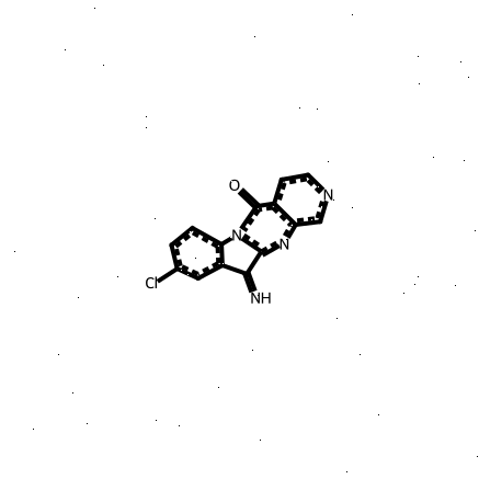 N=C1c2cc(Cl)ccc2-n2c1nc1cnccc1c2=O